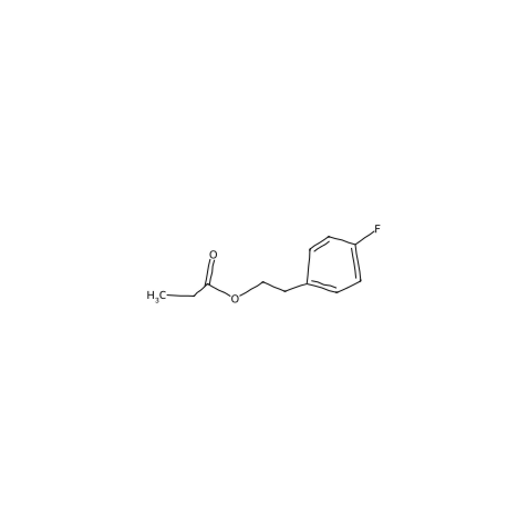 CCC(=O)OCCc1ccc(F)cc1